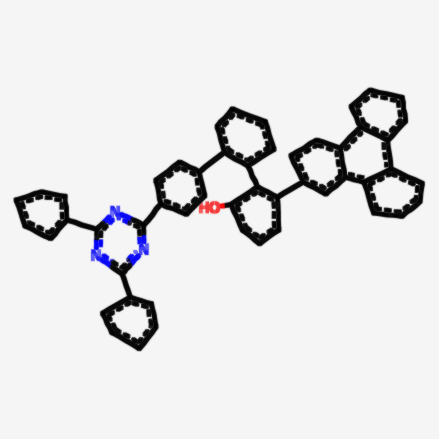 Oc1cccc(-c2ccc3c4ccccc4c4ccccc4c3c2)c1-c1ccccc1-c1ccc(-c2nc(-c3ccccc3)nc(-c3ccccc3)n2)cc1